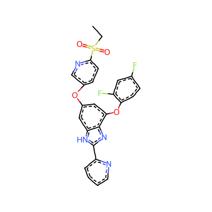 CCS(=O)(=O)c1ccc(Oc2cc(Oc3ccc(F)cc3F)c3nc(-c4ccccn4)[nH]c3c2)cn1